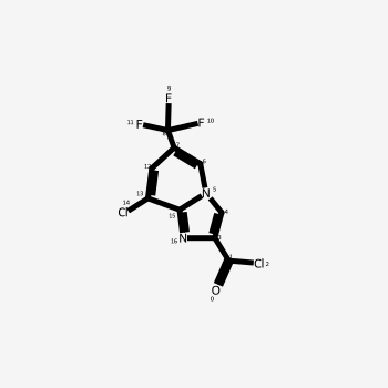 O=C(Cl)c1cn2cc(C(F)(F)F)cc(Cl)c2n1